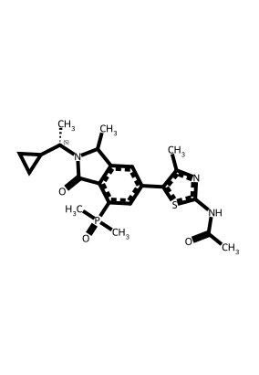 CC(=O)Nc1nc(C)c(-c2cc3c(c(P(C)(C)=O)c2)C(=O)N([C@@H](C)C2CC2)C3C)s1